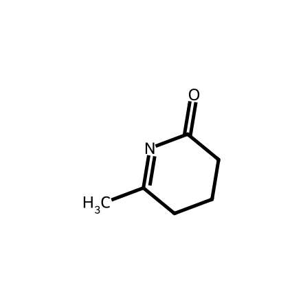 CC1=NC(=O)CCC1